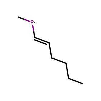 CCCCC=C[P]C